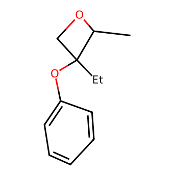 CCC1(Oc2ccccc2)COC1C